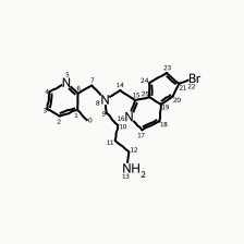 Cc1cccnc1CN(CCCCN)Cc1nccc2cc(Br)ccc12